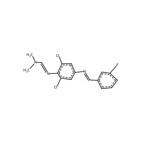 CN(C)C=Nc1c(Cl)cc(N=Cc2cccc(F)c2)cc1Cl